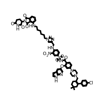 CC1(C)CCC(CN2CCN(c3ccc(C(=O)NS(=O)(=O)c4ccc(NCc5cn(CCCCCCNc6cccc7c6C(=O)N(C6CCC(=O)NC6=O)C7=O)nn5)c([N+](=O)[O-])c4)c(Oc4cnc5[nH]ccc5c4)c3)CC2)=C(c2ccc(Cl)cc2)C1